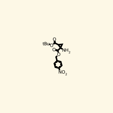 CC(C)(C)OC(=O)C1CC1(N)C(=O)OCc1ccc([N+](=O)[O-])cc1